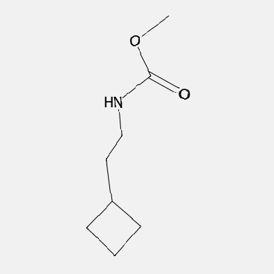 COC(=O)NCCC1CCC1